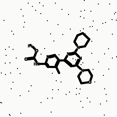 Cc1cc(NC(=O)OC(C)C)ncc1-c1cc(N2CCOCC2)nc(N2CCCCC2)n1